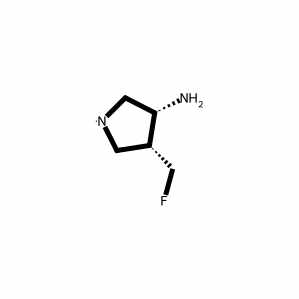 N[C@H]1C[N]C[C@H]1CF